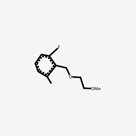 COCCOCc1c(C)cccc1F